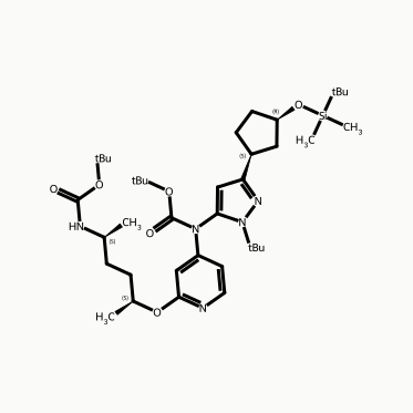 C[C@@H](CC[C@H](C)Oc1cc(N(C(=O)OC(C)(C)C)c2cc([C@H]3CC[C@@H](O[Si](C)(C)C(C)(C)C)C3)nn2C(C)(C)C)ccn1)NC(=O)OC(C)(C)C